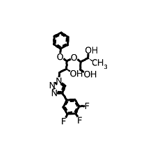 C[C@@H](O)C(CO)OC(Oc1ccccc1)[C@@H](O)Cn1cc(-c2cc(F)c(F)c(F)c2)nn1